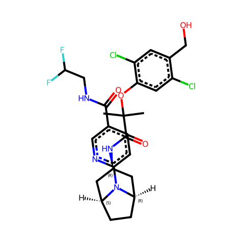 CC(C)(Oc1cc(Cl)c(CO)cc1Cl)C(=O)N[C@H]1C[C@H]2CC[C@@H](C1)N2c1ccc(C(=O)NCC(F)F)cn1